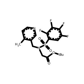 Cc1ccncc1CN(CC(=O)OC(C)(C)C)S(=O)(=O)c1cc(F)c(F)c(F)c1F